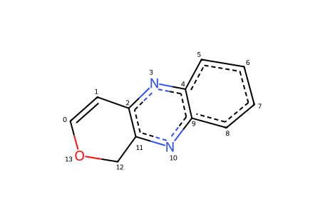 C1=Cc2nc3ccccc3nc2CO1